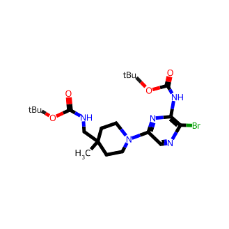 CC1(CNC(=O)OC(C)(C)C)CCN(c2cnc(Br)c(NC(=O)OC(C)(C)C)n2)CC1